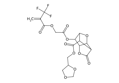 C=C(C(=O)OCC(=O)OC1C2OC(=O)C3C2OC1C3C(=O)OCC1COCO1)C(F)(F)F